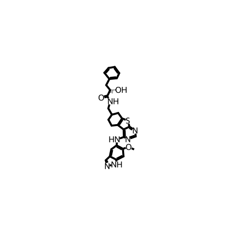 COc1cc2[nH]ncc2cc1Nc1ncnc2sc3c(c12)CCC(CNC(=O)[C@@H](O)Cc1ccccc1)C3